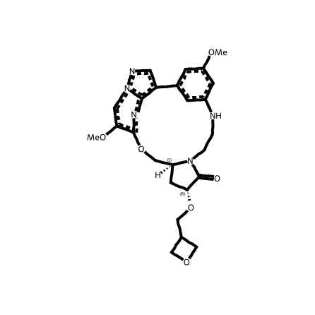 COc1cc2cc(c1)-c1cnn3cc(OC)c(nc13)OC[C@@H]1C[C@@H](OCC3COC3)C(=O)N1CCN2